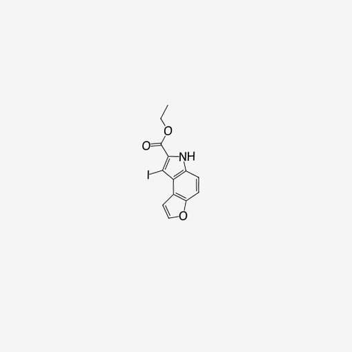 CCOC(=O)c1[nH]c2ccc3occc3c2c1I